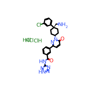 Cl.Cl.Cl.NC[C@]1(c2cccc(Cl)c2)CC[C@H](n2nc(-c3cccc(C(=O)Nc4nn[nH]n4)c3)ccc2=O)CC1